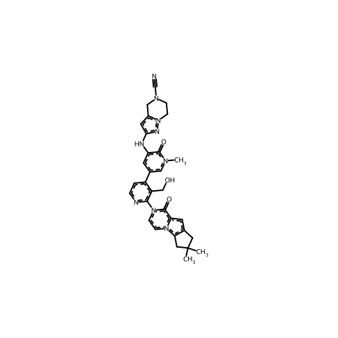 Cn1cc(-c2ccnc(-n3ccn4c5c(cc4c3=O)CC(C)(C)C5)c2CO)cc(Nc2cc3n(n2)CCN(C#N)C3)c1=O